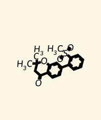 CC1(C)CC(=O)c2ccc(-c3ccccc3S(C)(=O)=O)cc2O1